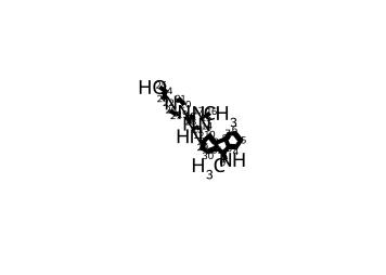 CNC1c2ccccc2-c2cc(Nc3nc(C)nc(N4CCN(CCO)CC4)n3)ccc21